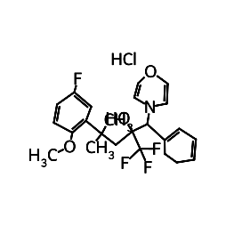 COc1ccc(F)cc1C(C)(C)CC(O)(C(C1=CC=CCC1)N1C=COC=C1)C(F)(F)F.Cl